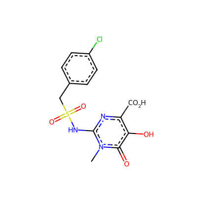 Cn1c(NS(=O)(=O)Cc2ccc(Cl)cc2)nc(C(=O)O)c(O)c1=O